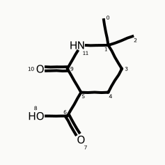 CC1(C)CCC(C(=O)O)C(=O)N1